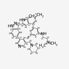 C=C/C=C(/c1cc(F)cc(NCCN(C)C)c1)c1cc(-c2n[nH]c3ccc(-c4cncc(CN5CCCCC5)c4)cc23)[nH]c1C